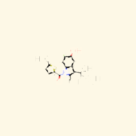 Cc1ccc(C(=O)n2c(C)c(C(C)C(=O)O)c3cc(O)c(F)cc32)s1